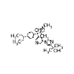 CCC(CC)c1ccc(C(O)(c2cncc(-n3cnc(C(C)(C)O)c3)c2)C2(C)CN(C)C2)cc1